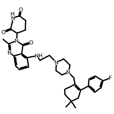 Cc1nc2cccc(NCCN3CCN(CC4=C(c5ccc(F)cc5)CC(C)(C)CC4)CC3)c2c(=O)n1C1CCC(=O)NC1=O